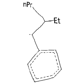 CCCC([CH]c1ccccc1)CC